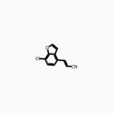 N#CC=Cc1ccc(Cl)c2occc12